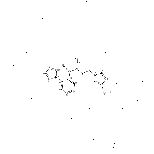 CCN(CCn1ncc(C(=O)O)n1)C(=O)c1ccccc1-n1nccn1